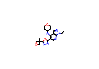 CCn1ncc2c(NC3CCOCC3)c(-c3nnc(C4(C)COC4)o3)cnc21